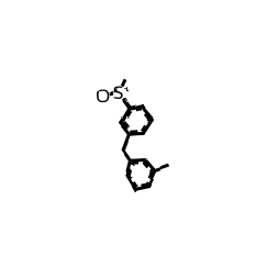 Cc1cccc(Cc2cccc([S+](C)[O-])c2)c1